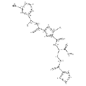 COC(=O)C(CNC(=O)c1cccs1)NC(=O)c1sc(C(=O)NC(C)c2cccc(O)c2)cc1C